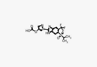 CC(C)S(=O)(=O)c1cc2[nH]c(-n3cc(OC(=O)O)cn3)nc2cc1C(F)(F)F